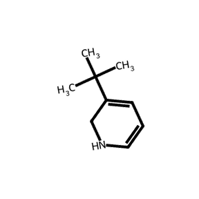 CC(C)(C)C1=CC=CNC1